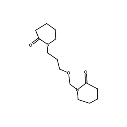 O=C1CCCCN1CCCOCN1CCCCC1=O